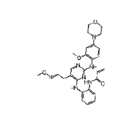 C=CC(=O)Nc1ccccc1Nc1nc(Nc2ccc(N3CCOCC3)cc2OC)ncc1C/C=N/OC